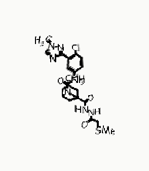 CSCC(=O)NNC(=O)C12CC(C)CC(C1)N2C(=O)Nc1ccc(Cl)c(-c2ncn(C)n2)c1